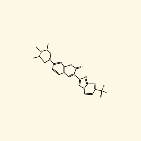 CC1CN(c2ccc3cc(-c4cn5ccc(C(F)(F)F)cc5n4)c(=O)oc3c2)CC(C)N1C